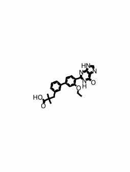 CCOc1cc(-c2cccc(CC(C)(C)C(=O)O)c2)ccc1-c1nc2[nH]cnc2c(=O)[nH]1